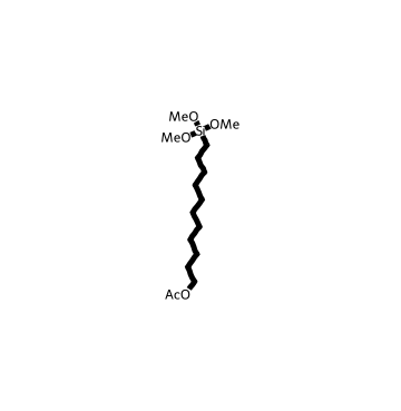 CO[Si](CCCCCCCCCCCOC(C)=O)(OC)OC